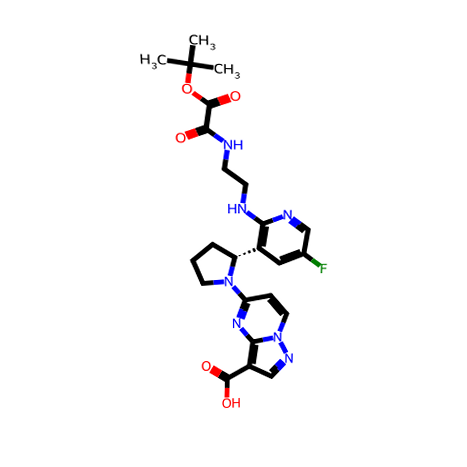 CC(C)(C)OC(=O)C(=O)NCCNc1ncc(F)cc1[C@H]1CCCN1c1ccn2ncc(C(=O)O)c2n1